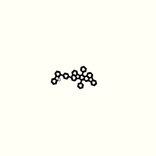 c1ccc(-c2c3cc4c5ccccc5c5cccc(c3c(-c3ccccc3)c3c6cccc7c(-c8ccc(-c9cccc%10c9oc9ccccc9%10)cc8)ccc(c23)c76)c54)cc1